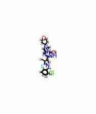 CC1CN(Cc2c(F)cccc2Cl)CC1C1=NC2=CN(C3CCOCC3)CN2C(=O)N1